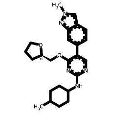 CC1CCC(Nc2ncc(-c3ccc4cn(C)nc4c3)c(OC[C@H]3CCCO3)n2)CC1